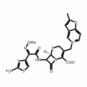 CO/N=C(\C(=O)NC1C(=O)N2C(C(=O)[O-])=C(C[n+]3ccc4oc(C)cc4c3)CS[C@H]12)c1csc(N)n1